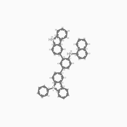 c1ccc(-n2c3ccccc3c3cc(-c4ccc(Nc5cccc6ccccc56)c(-c5ccc6[nH]c7ccccc7c6c5)c4)ccc32)cc1